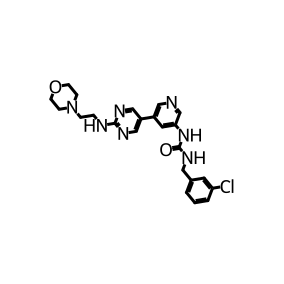 O=C(NCc1cccc(Cl)c1)Nc1cncc(-c2cnc(NCCN3CCOCC3)nc2)c1